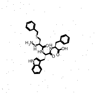 NN[C@@H](CSCc1ccccc1)C(=O)N[C@@H](Cc1c[nH]c2ccccc12)C(=O)N[C@@H](Cc1ccccc1)C(=O)O